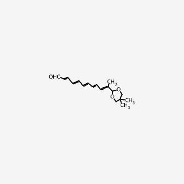 CC(=CC=CC=CC=CC=CC=O)C1OCC(C)(C)CO1